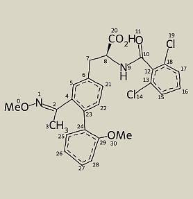 CO/N=C(\C)c1cc(C[C@H](NC(=O)c2c(Cl)cccc2Cl)C(=O)O)ccc1-c1ccccc1OC